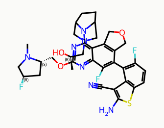 C[C@@H](O)CN1CC2CCC(C1)N2c1nc(OC[C@@H]2C[C@@H](F)CN2C)nc2c(F)c(-c3c(F)ccc4sc(N)c(C#N)c34)c3c(c12)COC3